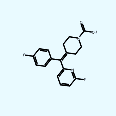 O=C(O)N1CCC(=C(c2ccc(F)cc2)c2cccc(F)n2)CC1